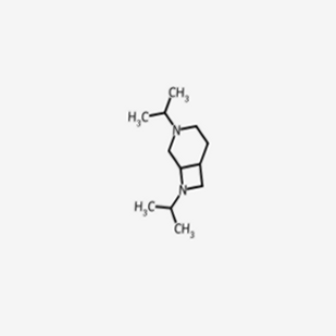 CC(C)N1CCC2CN(C(C)C)C2C1